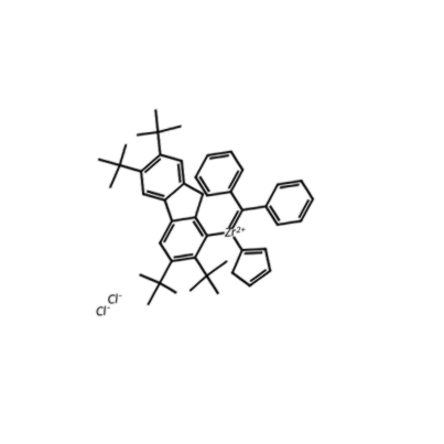 CC(C)(C)c1cc2c(cc1C(C)(C)C)-c1cc(C(C)(C)C)c(C(C)(C)C)[c]([Zr+2]([C]3=CC=CC3)=[C](c3ccccc3)c3ccccc3)c1C2.[Cl-].[Cl-]